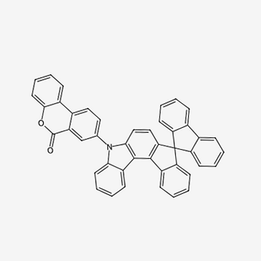 O=c1oc2ccccc2c2ccc(-n3c4ccccc4c4c5c(ccc43)C3(c4ccccc4-c4ccccc43)c3ccccc3-5)cc12